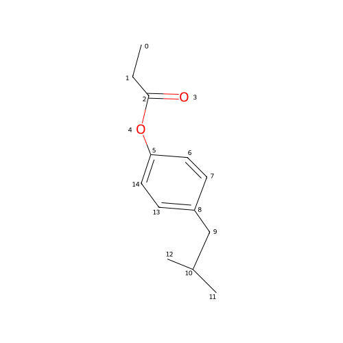 CCC(=O)Oc1ccc(CC(C)C)cc1